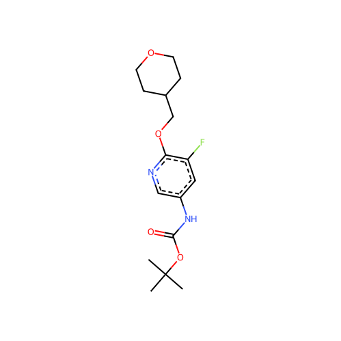 CC(C)(C)OC(=O)Nc1cnc(OCC2CCOCC2)c(F)c1